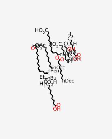 CC(C)CCCCCCC(=O)O.CCCCC(CC)C(=O)O.CCCCC/C=C\C/C=C\CCCCCCCC(=O)OC(C)=O.CCCCCCCC(=O)O.CCCCCCCC/C=C\CCCCCCCC(=O)O.CCCCCCCCCC(=O)O.CCCCCCCCCCCCCCCC(=O)O.CCCCCCCCCCCCCCCCCC(=O)O[C@@H](C/C=C\CCCCCCCC(=O)O)CCCCCC.O=[N+]([O-])O